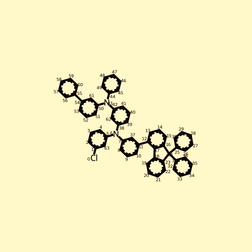 Clc1cccc(N(c2cccc(-c3cccc4c3-c3ccccc3C4(c3ccccc3)c3ccccc3)c2)c2cccc(N(c3ccccc3)c3cccc(-c4ccccc4)c3)c2)c1